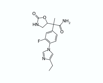 CCc1cn(-c2ccc(C(C)(C(N)=O)C3CNC(=O)O3)cc2F)cn1